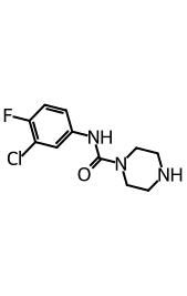 O=C(Nc1ccc(F)c(Cl)c1)N1CCNCC1